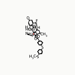 CSc1ccc(Sc2ccc(C(=O)O[C@@]3(C(=O)OCC#N)[C@H](C)C[C@H]4[C@@H]5C[C@H](F)C6=CC(=O)C=C[C@]6(C)C5(F)[C@@H](O)C[C@@]43C)cc2)cc1